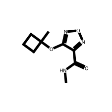 CNC(=O)c1nonc1OC1(C)CCC1